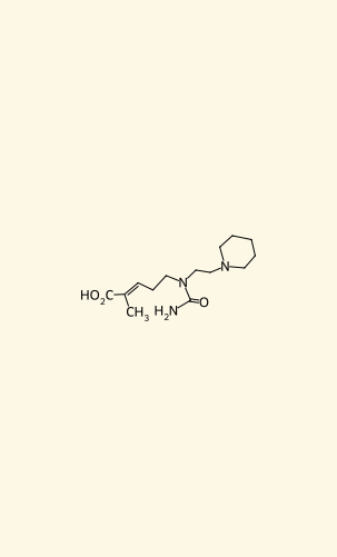 CC(=CCCN(CCN1CCCCC1)C(N)=O)C(=O)O